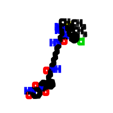 Cc1sc2c(c1C)C(c1ccc(Cl)cc1)=N[C@@H](CC(=O)NCCCCCCCCNC(=O)CCc1cccc3c(=O)n(C4CCCC(=O)NC4=O)ccc13)c1nnc(C)n1-2